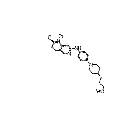 CCn1c(=O)ccc2cnc(Nc3ccc(N4CCC(CCCO)CC4)cc3)cc21